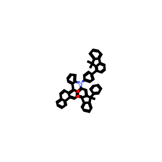 CC1(C)c2ccccc2-c2cccc(-c3ccc(N(c4ccc5c(c4)C(C)(c4ccccc4)c4ccccc4-5)c4ccccc4-c4cccc5c4ccc4ccccc45)cc3)c21